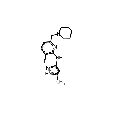 Cc1cc(Nc2nc(CN3CCCCC3)ccc2F)n[nH]1